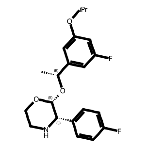 CC(C)Oc1cc(F)cc([C@@H](C)O[C@H]2OCCN[C@H]2c2ccc(F)cc2)c1